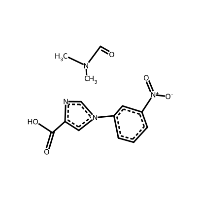 CN(C)C=O.O=C(O)c1cn(-c2cccc([N+](=O)[O-])c2)cn1